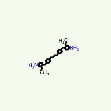 CCCc1cc(N)ccc1Cc1ccc(CCCCc2ccc(Cc3ccc(N)cc3CCC)cc2)cc1